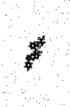 COC(=O)C1(NC(=O)c2ccccc2CC[C@]2(O)CCC3=Cc4c(cnn4-c4ccc(F)cc4)C[C@@]32C)CC1